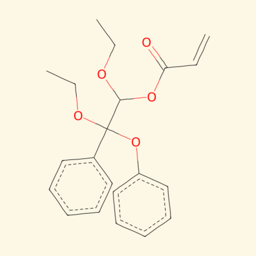 C=CC(=O)OC(OCC)C(OCC)(Oc1ccccc1)c1ccccc1